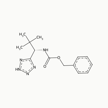 CC(C)(C)[C@H](NC(=O)OCc1ccccc1)c1nn[nH]n1